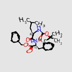 CC(C)C[C@@H](NC(=O)OC(C)(C)C)C(=O)N[C@@H](Cc1ccccc1)C(=O)OCc1ccccc1